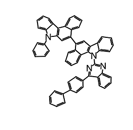 c1ccc(-c2ccc(-c3nc(-n4c5ccccc5c5cc(-c6cc7c(c8ccccc68)c6ccccc6n7-c6ccccc6)c6ccccc6c54)nc4ccccc34)cc2)cc1